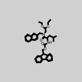 CCOC(CN(Cc1ccc2ccccc2c1)C(=O)C(CC(C)C)NC(=O)OCC1c2ccccc2-c2ccccc21)OCC